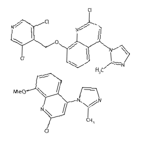 COc1cccc2c(-n3ccnc3C)cc(Cl)nc12.Cc1nccn1-c1cc(Cl)nc2c(OCc3c(Cl)cncc3Cl)cccc12